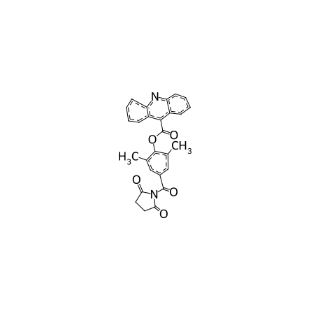 Cc1cc(C(=O)N2C(=O)CCC2=O)cc(C)c1OC(=O)c1c2ccccc2nc2ccccc12